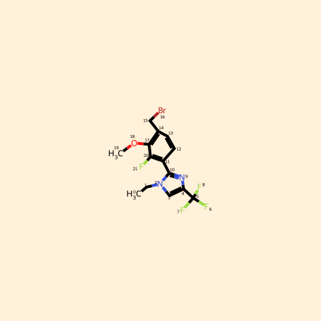 CCn1cc(C(F)(F)F)nc1-c1ccc(CBr)c(OC)c1F